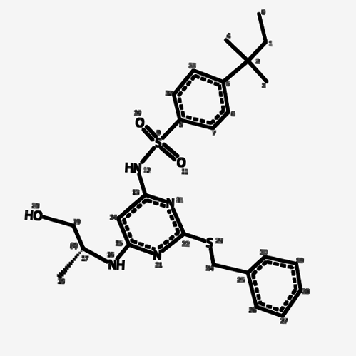 CCC(C)(C)c1ccc(S(=O)(=O)Nc2cc(N[C@H](C)CO)nc(SCc3ccccc3)n2)cc1